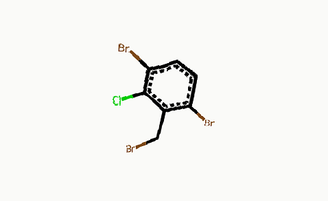 Clc1c(Br)ccc(Br)c1CBr